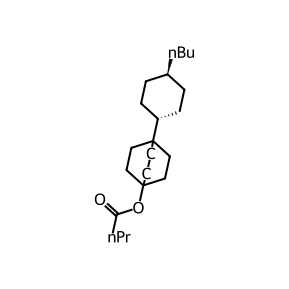 CCCC[C@H]1CC[C@H](C23CCC(OC(=O)CCC)(CC2)CC3)CC1